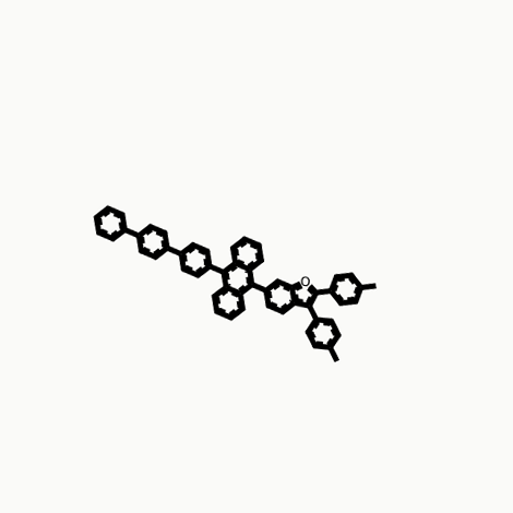 Cc1ccc(-c2oc3cc(-c4c5ccccc5c(-c5ccc(-c6ccc(-c7ccccc7)cc6)cc5)c5ccccc45)ccc3c2-c2ccc(C)cc2)cc1